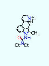 CCN(CC)C(=O)Nn1c(C)c2c3c(cccc31)C1=CCCN(CC)[C@@H]1C2